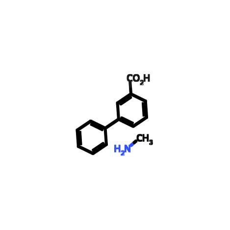 CN.O=C(O)c1cccc(-c2ccccc2)c1